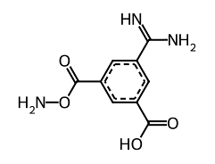 N=C(N)c1cc(C(=O)O)cc(C(=O)ON)c1